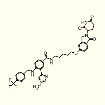 Cn1cnc(-c2cc(C(=O)NCCCCCOc3ccc4c(c3)CN(C3CCC(=O)NC3=O)C4=O)ccc2NCc2ccc(C(F)(F)F)cc2)c1